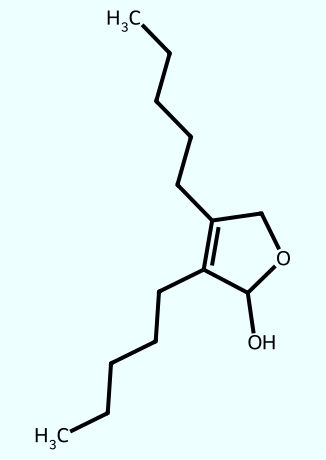 CCCCCC1=C(CCCCC)C(O)OC1